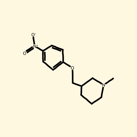 CN1CCCC(COc2ccc([N+](=O)[O-])cc2)C1